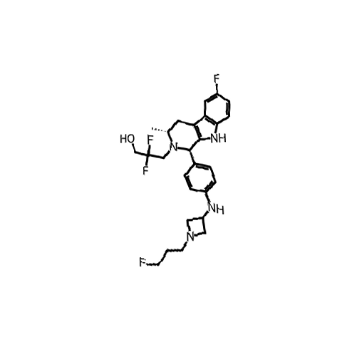 C[C@@H]1Cc2c([nH]c3ccc(F)cc23)[C@@H](c2ccc(NC3CN(CCCF)C3)cc2)N1CC(F)(F)CO